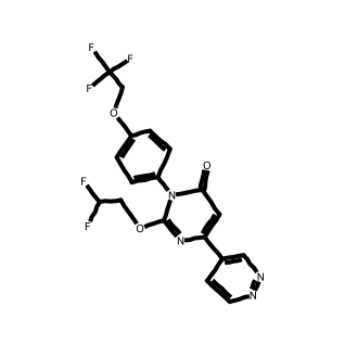 O=c1cc(-c2ccnnc2)nc(OCC(F)F)n1-c1ccc(OCC(F)(F)F)cc1